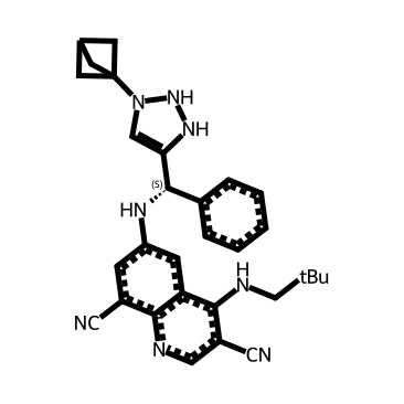 CC(C)(C)CNc1c(C#N)cnc2c(C#N)cc(N[C@H](C3=CN(C45CC(C4)C5)NN3)c3ccccc3)cc12